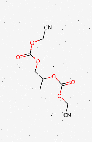 CC(COC(=O)OCC#N)OC(=O)OCC#N